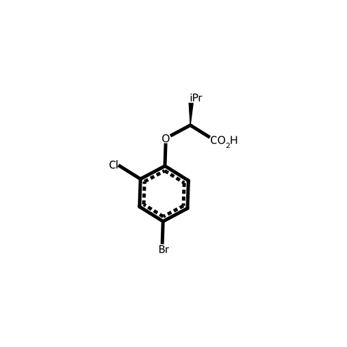 CC(C)[C@H](Oc1ccc(Br)cc1Cl)C(=O)O